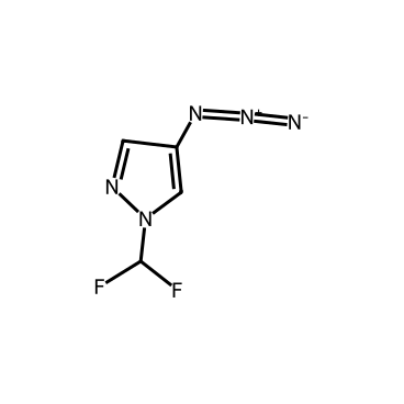 [N-]=[N+]=Nc1cnn(C(F)F)c1